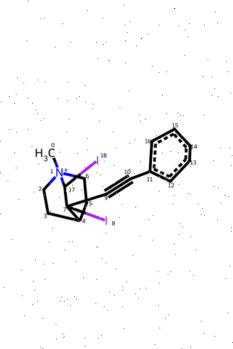 C[N+]12CCC(CC1)C(I)(C#Cc1ccccc1)C2I